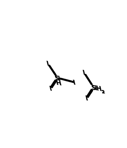 I[SiH2]I.I[SiH](I)I